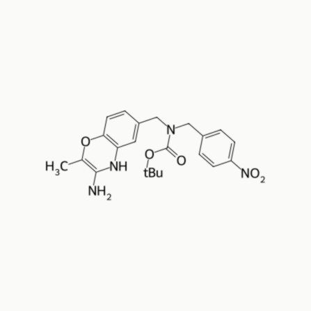 CC1=C(N)Nc2cc(CN(Cc3ccc([N+](=O)[O-])cc3)C(=O)OC(C)(C)C)ccc2O1